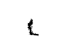 CCCCCCC(C)C(=O)OCCOC(=O)C(C)c1ccc2cc(OC)ccc2c1